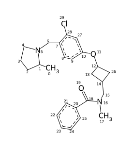 CC1CCCN1Cc1ccc(OC2CC(CN(C)C(=O)c3ccccc3)C2)cc1Cl